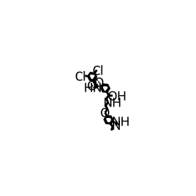 Cc1n[nH]c2cc(OCCNCC(O)c3cccc(NS(=O)(=O)c4cc(Cl)cc(Cl)c4)c3)ccc12